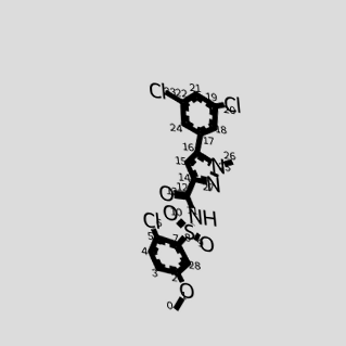 COc1ccc(Cl)c(S(=O)(=O)NC(=O)c2cc(-c3cc(Cl)cc(Cl)c3)n(C)n2)c1